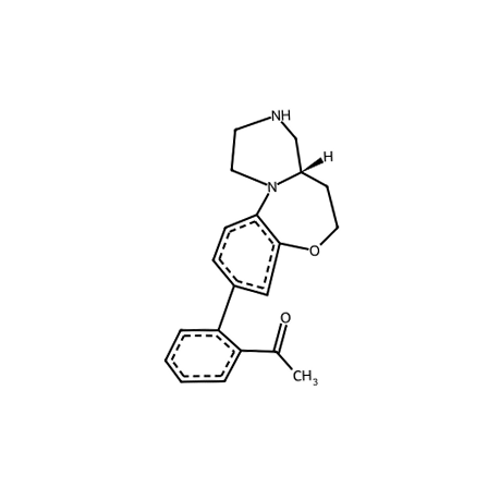 CC(=O)c1ccccc1-c1ccc2c(c1)OCC[C@H]1CNCCN21